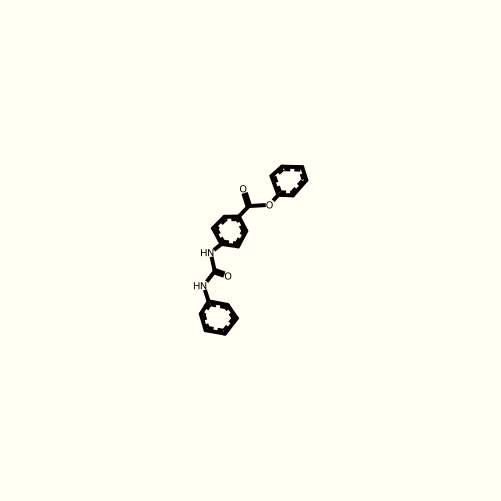 O=C(Nc1ccccc1)Nc1ccc(C(=O)Oc2ccccc2)cc1